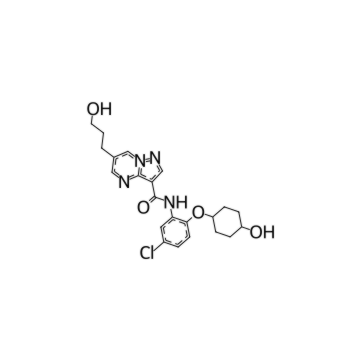 O=C(Nc1cc(Cl)ccc1OC1CCC(O)CC1)c1cnn2cc(CCCO)cnc12